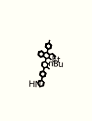 CC/C=C\C1=C(c2ccc(C)cc2)c2ccccc2C(C2C=CC(c3ccc(C4=CNCC=C4)cc3)C(C)C2CCCC)C1C